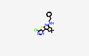 CC1(C)Cc2c(NCCc3ccccc3)nc3sc4c(Cl)ncnc4c3c2C1